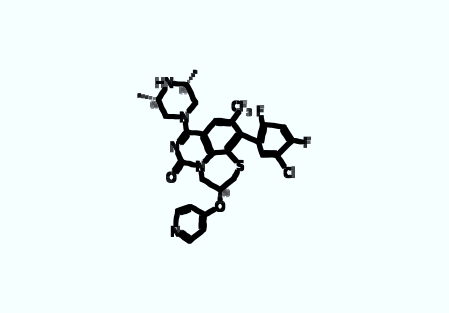 C[C@@H]1CN(c2nc(=O)n3c4c(c(-c5cc(Cl)c(F)cc5F)c(C(F)(F)F)cc24)SC[C@@H](Oc2ccncc2)C3)C[C@H](C)N1